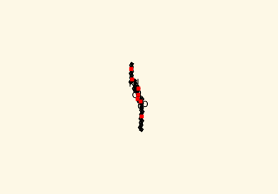 CCCCCCCCCCCCOC(=O)C1CCN(C(=O)Oc2ccc(-c3ncc(CCCCCCCC)cn3)cc2)CC1